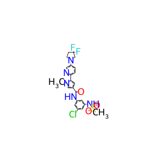 Cn1cc(C(=O)Nc2cc(Cl)cc(NS(C)(=O)=O)c2)cc1-c1ccc(N2CCC(F)(F)C2)cn1